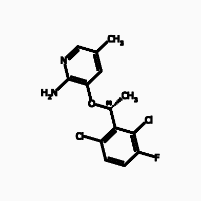 Cc1cnc(N)c(O[C@H](C)c2c(Cl)ccc(F)c2Cl)c1